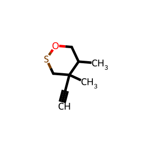 C#CC1(C)CSOCC1C